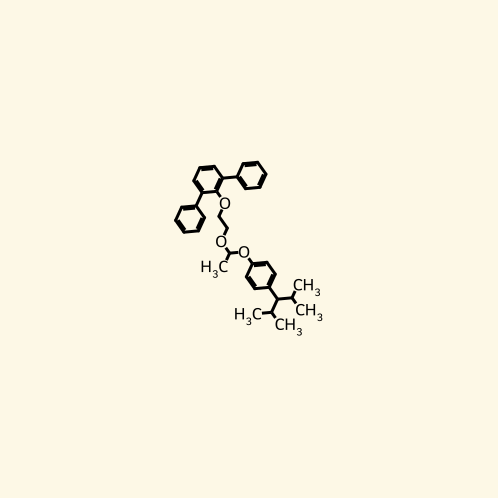 CC(OCCOc1c(-c2ccccc2)cccc1-c1ccccc1)Oc1ccc(C(C(C)C)C(C)C)cc1